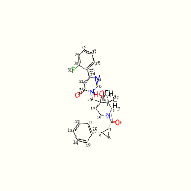 CC1(C)CN(C(=O)[C@@H]2C[C@@H]2c2ccccc2)CCC1(O)Cn1cnc(-c2ccccc2F)cc1=O